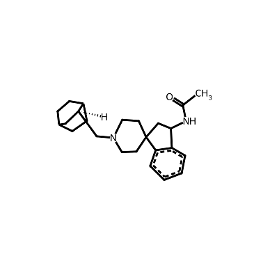 CC(=O)NC1CC2(CCN(C[C@H]3CC4CCC3CC4)CC2)c2ccccc21